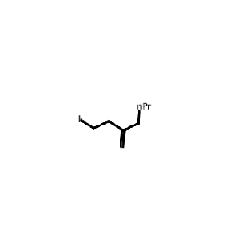 C=C(CCI)CCCC